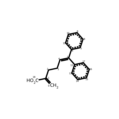 C=C(CCC=C(c1ccccc1)c1ccccc1)C(=O)O